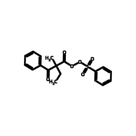 CCC(C)(C(=O)OOS(=O)(=O)c1ccccc1)C(=O)c1ccccc1